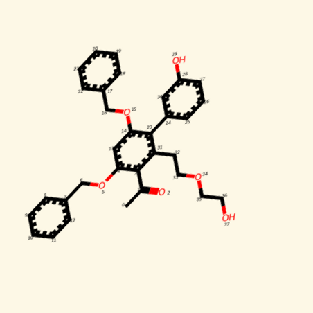 CC(=O)c1c(OCc2ccccc2)cc(OCc2ccccc2)c(-c2cccc(O)c2)c1CCOCCO